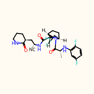 C[C@@H](Nc1cc(F)ccc1F)C(=O)N1[C@@H]2CC[C@H]([C@H]1C(=O)N[C@H](C#N)C[C@@H]1CCCNC1=O)C(F)(F)C2